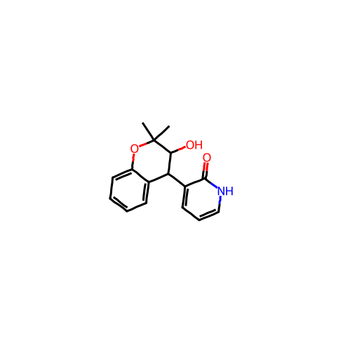 CC1(C)Oc2ccccc2C(c2ccc[nH]c2=O)C1O